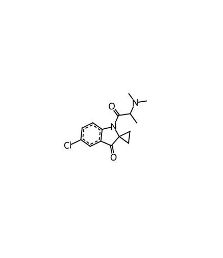 CC(C(=O)N1c2ccc(Cl)cc2C(=O)C12CC2)N(C)C